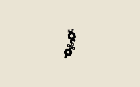 Cc1ccc(S(=O)(=O)OCC2(C)CCC(F)(F)CC2)cc1